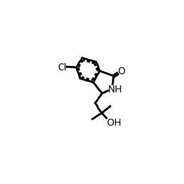 CC(C)(O)CC1NC(=O)c2ccc(Cl)cc21